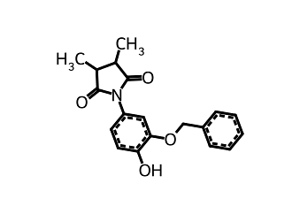 CC1C(=O)N(c2ccc(O)c(OCc3ccccc3)c2)C(=O)C1C